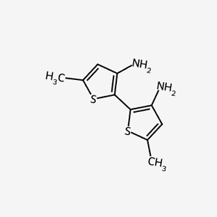 Cc1cc(N)c(-c2sc(C)cc2N)s1